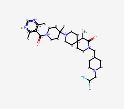 CCCCC1C(=O)N(CC2CCN(CC(F)F)CC2)CCC12CCN(C1(C)CCN(C(=O)c3c(C)ncnc3C)CC1)CC2